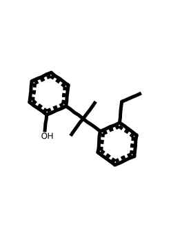 CCc1ccccc1C(C)(C)c1ccccc1O